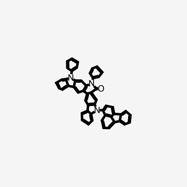 O=c1c2cc3c(cc2c2cc4c5ccccc5n(-c5ccccc5)c4cc2n1-c1ccccc1)c1ccccc1n3-c1ccc2c3c(cccc13)-c1ccccc1-2